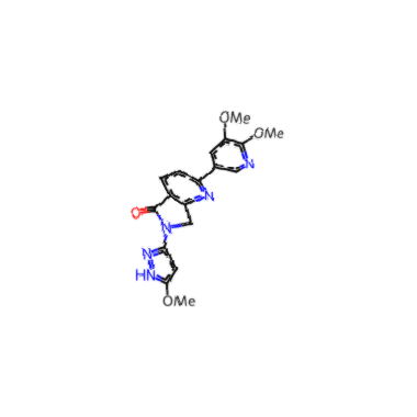 COc1cc(N2Cc3nc(-c4cnc(OC)c(OC)c4)ccc3C2=O)n[nH]1